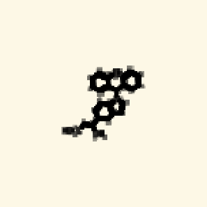 C/C(=C\C(=O)O)c1ccc2c(ccn2C(c2ccccc2)c2ccccc2C)c1